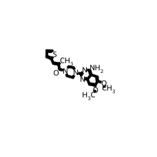 COc1cc2nc(N3CCN(C(=O)/C(C)=C/c4cccs4)CC3)nc(N)c2cc1OC